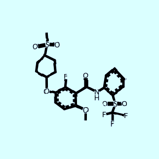 COc1ccc(OC2CCC(S(C)(=O)=O)CC2)c(F)c1C(=O)Nc1cc[c]cc1S(=O)(=O)C(F)(F)F